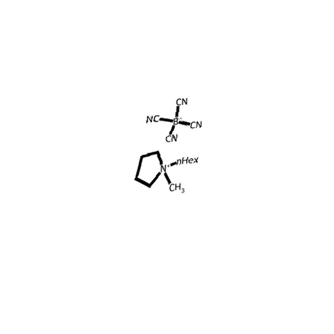 CCCCCC[N+]1(C)CCCC1.N#C[B-](C#N)(C#N)C#N